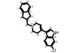 Clc1ccc2c(C3=CCN(CC4Cc5ccccc5C4)CC3)c[nH]c2c1